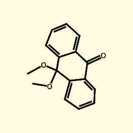 COC1(OC)c2ccccc2C(=O)c2ccccc21